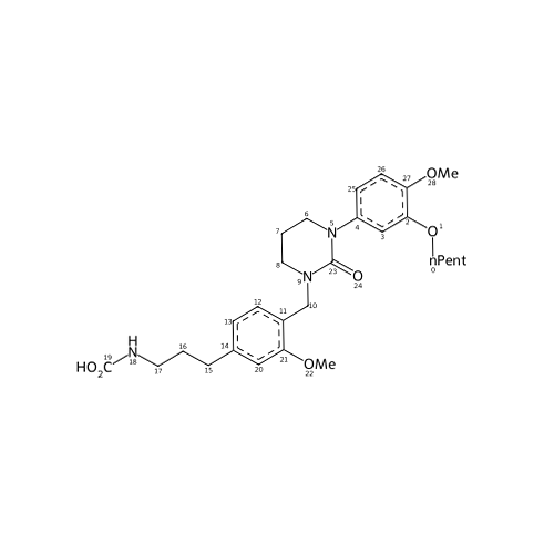 CCCCCOc1cc(N2CCCN(Cc3ccc(CCCNC(=O)O)cc3OC)C2=O)ccc1OC